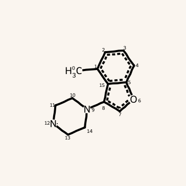 Cc1cccc2occ(N3CC[N]CC3)c12